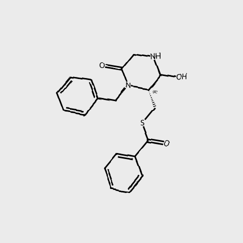 O=C(SC[C@H]1C(O)NCC(=O)N1Cc1ccccc1)c1ccccc1